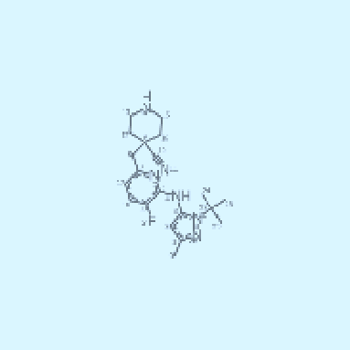 Cc1cc(Nc2nc(CC3(C#N)CCNCC3)ccc2F)n(C(C)(C)C)n1